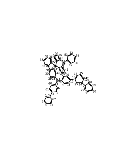 c1ccc(-c2ccc(N(c3ccc(-c4ccc5sc6ccccc6c5c4)cc3)c3ccc4c(c3)C3(c5ccccc5-4)c4ccccc4N(c4ccccc4)c4ccccc43)cc2)cc1